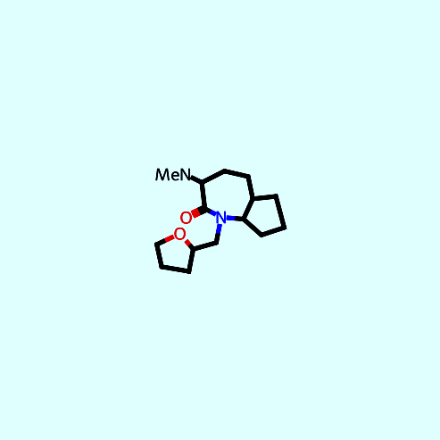 CNC1CCC2CCCC2N(CC2CCCO2)C1=O